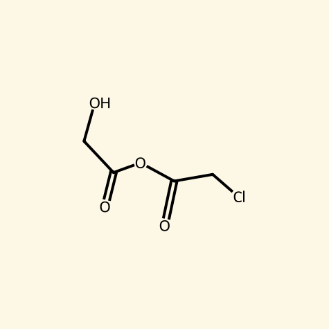 O=C(CO)OC(=O)CCl